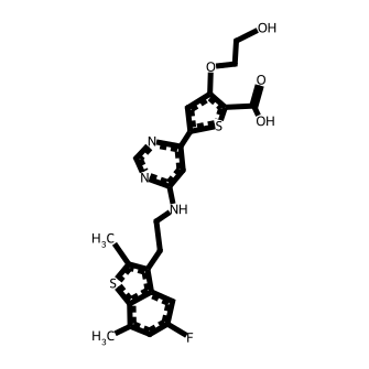 Cc1sc2c(C)cc(F)cc2c1CCNc1cc(-c2cc(OCCO)c(C(=O)O)s2)ncn1